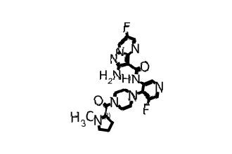 CN1CCC[C@@H]1C(=O)N1CCN(c2c(F)cncc2NC(=O)c2c(N)nn3cc(F)cnc23)CC1